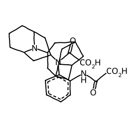 O=C(O)C(=O)Nc1ccccc1N(C(=O)C(=O)O)C1CC2CCCC(C1)N2C1CC2CC3CC(C1)C3C2